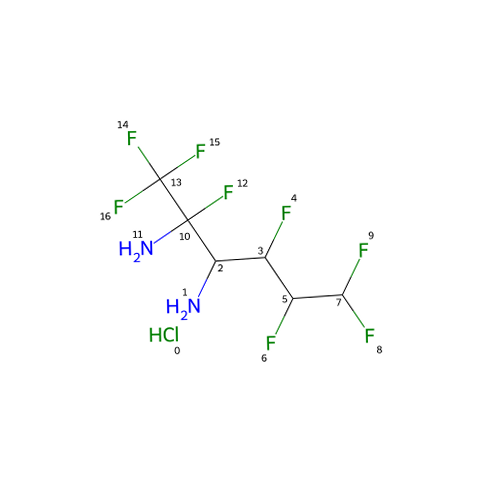 Cl.NC(C(F)C(F)C(F)F)C(N)(F)C(F)(F)F